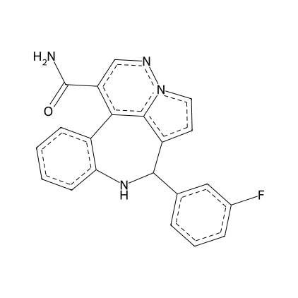 NC(=O)c1cnn2ccc3c2c1-c1ccccc1NC3c1cccc(F)c1